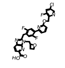 O=C(O)c1ccc2nc(Cc3cc(F)c(-c4cccc(OCc5ncc(Cl)cc5F)n4)cc3F)n(CC3CCO3)c2n1